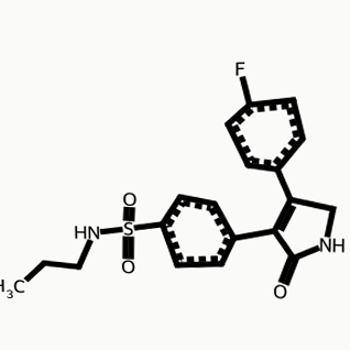 CCCNS(=O)(=O)c1ccc(C2=C(c3ccc(F)cc3)CNC2=O)cc1